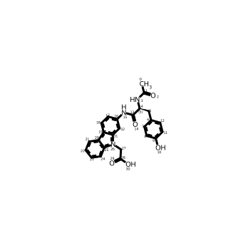 CC(=O)N[C@@H](Cc1ccc(O)cc1)C(=O)Nc1ccc2c3ccccc3n(CC(=O)O)c2c1